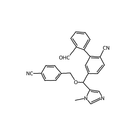 Cn1cncc1C(OCc1ccc(C#N)cc1)c1ccc(C#N)c(-c2ccccc2C=O)c1